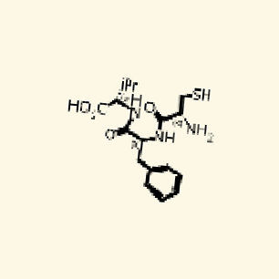 CC(C)[C@H](NC(=O)[C@H](Cc1ccccc1)NC(=O)[C@@H](N)CS)C(=O)O